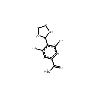 COC(=O)c1cc(F)c(C2OCCO2)c(F)c1